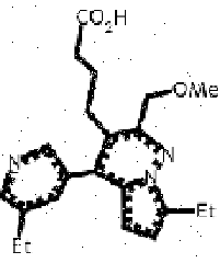 CCc1cncc(-c2c(CCCC(=O)O)c(COC)nn3c(CC)ccc23)c1